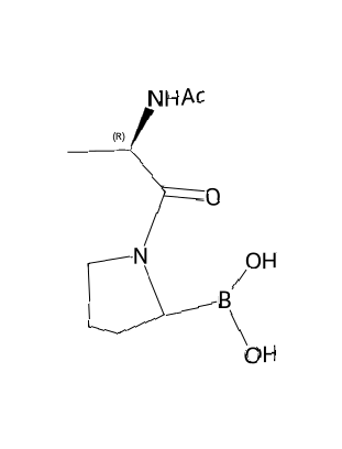 CC(=O)N[C@H](C)C(=O)N1CCCC1B(O)O